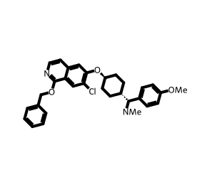 CNC(c1ccc(OC)cc1)[C@H]1CC[C@H](Oc2cc3ccnc(OCc4ccccc4)c3cc2Cl)CC1